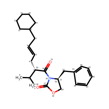 CC(C)[C@H](CC=CCC1CCCCC1)C(=O)N1C(=O)OC[C@@H]1Cc1ccccc1